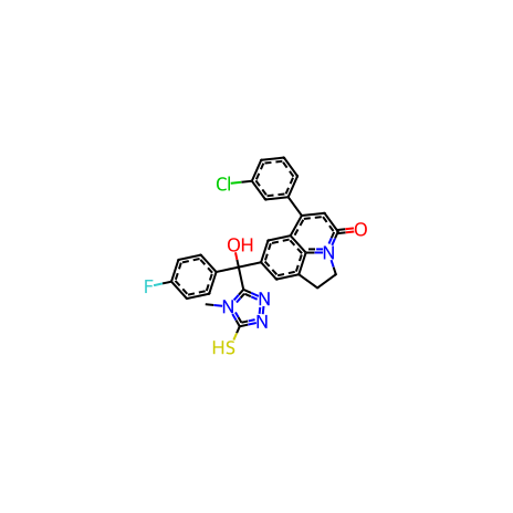 Cn1c(S)nnc1C(O)(c1ccc(F)cc1)c1cc2c3c(c1)c(-c1cccc(Cl)c1)cc(=O)n3CC2